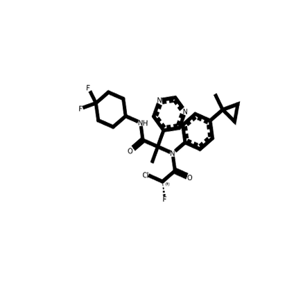 CC1(c2ccc(N(C(=O)[C@H](F)Cl)C(C)(C(=O)NC3CCC(F)(F)CC3)c3cncnc3)cc2)CC1